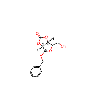 O=C1O[C@H]2[C@H](OCc3ccccc3)OC(CO)[C@H]2O1